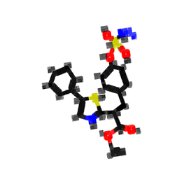 CC(C)(C)OC(=O)[C@H](Cc1ccc(OS(N)(=O)=O)cc1)c1ncc(-c2ccccc2)s1